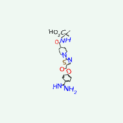 CC(C)(CNC(=O)C1CCN(c2ncc(C(=O)Oc3ccc(C(=N)N)cc3)s2)CC1)C(=O)O